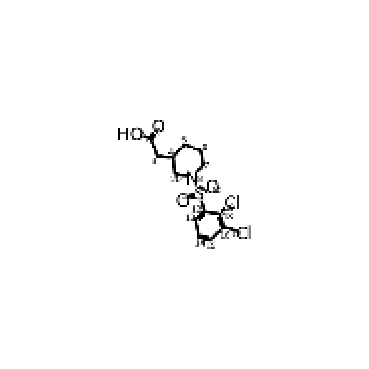 O=C(O)CC1CCCN(S(=O)(=O)c2cccc(Cl)c2Cl)C1